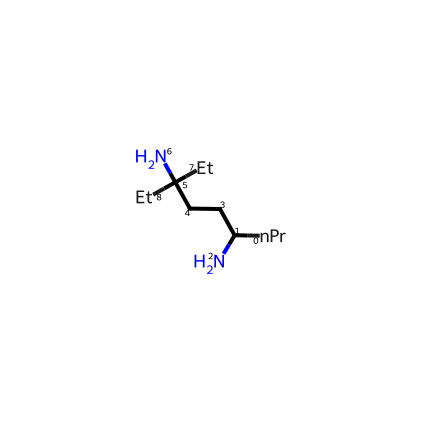 CCCC(N)CCC(N)(CC)CC